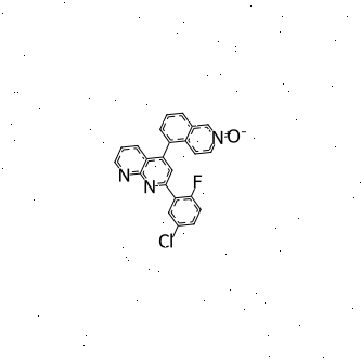 [O-][n+]1ccc2c(-c3cc(-c4cc(Cl)ccc4F)nc4ncccc34)cccc2c1